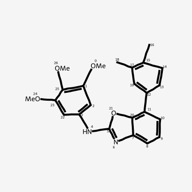 COc1cc(Nc2nc3cccc(-c4ccc(C)c(C)c4)c3o2)cc(OC)c1OC